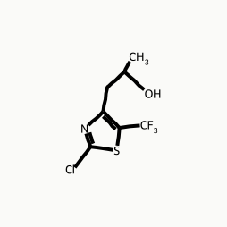 CC(O)Cc1nc(Cl)sc1C(F)(F)F